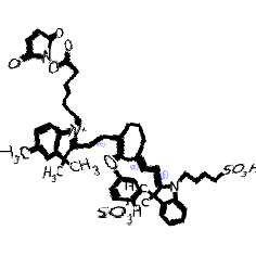 Cc1ccc2c(c1)C(C)(C)C(/C=C/C1=C(Oc3ccc(S(=O)(=O)O)cc3)C(=C/C=C3/N(CCCCS(=O)(=O)O)c4ccccc4C3(C)C)/CCC1)=[N+]2CCCCCC(=O)ON1C(=O)CCC1=O